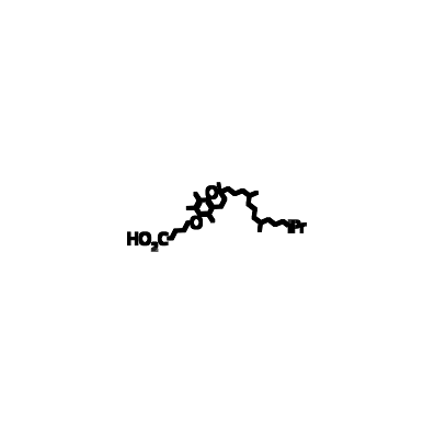 Cc1c(C)c2c(c(C)c1OCCCCC(=O)O)CC[C@@](C)(CCCC(C)CCCC(C)CCCC(C)C)O2